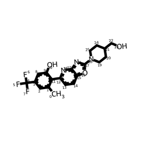 Cc1cc(C(F)(F)F)cc(O)c1-c1ccc2oc(N3CCC(CO)CC3)nc2n1